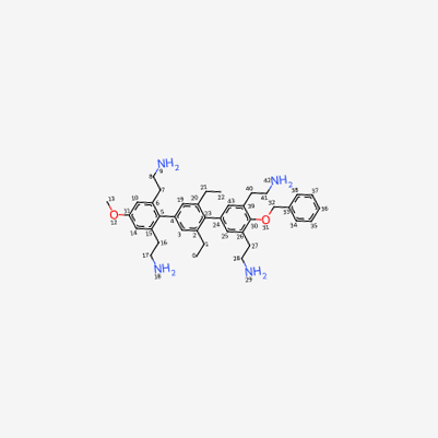 CCc1cc(-c2c(CCN)cc(OC)cc2CCN)cc(CC)c1-c1cc(CCN)c(OCc2ccccc2)c(CCN)c1